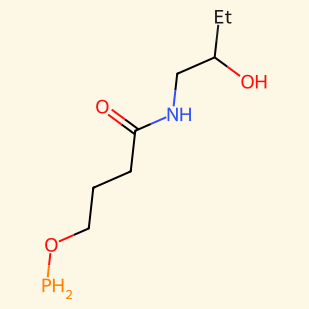 CCC(O)CNC(=O)CCCOP